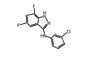 Fc1cc(F)c2[nH]nc(Nc3cccc(Cl)c3)c2c1